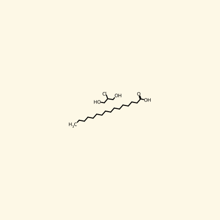 CCCCCCCCCCCCCCCC(=O)O.OCC(Cl)CO